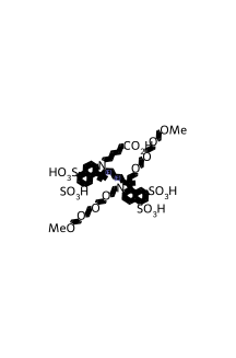 COCCOCCOCCOCC[N+]1=C(/C=C/C=C2/N(CCCCCC(=O)O)c3ccc4c(S(=O)(=O)O)cc(S(=O)(=O)O)cc4c3C2(C)C)C(C)(CCOCCOCCOCCOC)c2c1ccc1c(S(=O)(=O)O)cc(S(=O)(=O)O)cc21